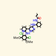 C=CC(=O)Nc1ccccc1Nc1cc(-c2cccnc2Nc2c(Cl)c(OC)cc(OC)c2Cl)ncn1